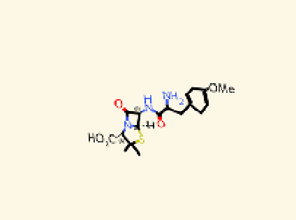 COC1=CCC(CC(N)C(=O)N[C@@H]2C(=O)N3[C@@H]2SC(C)(C)[C@@H]3C(=O)O)=CC1